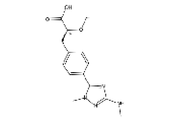 CCO[C@@H](Cc1ccc(-c2nc(NC)nn2C)cc1)C(=O)O